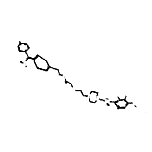 COc1cc(C)c(S(=O)(=O)N2CCN(CCOCC(=O)NCCC3CCC(C(c4ccc(F)cc4)N(C)C)CC3)CC2)c(C)c1C